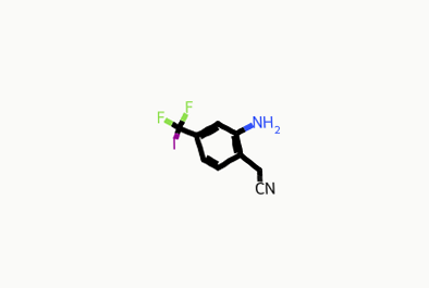 N#CCc1ccc(C(F)(F)I)cc1N